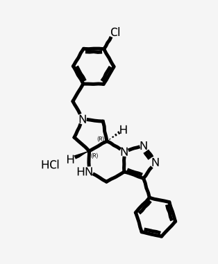 Cl.Clc1ccc(CN2C[C@@H]3[C@@H](C2)NCc2c(-c4ccccc4)nnn23)cc1